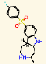 CC1CC2Nc3ccc(S(=O)(=O)c4ccc(F)cc4)cc3[C@H]2CCN1